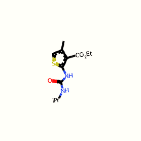 CCOC(=O)c1c(C)csc1NC(=O)NC(C)C